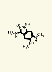 CNc1cc2c(NC)[n+]([O-])n(O)c2cc1NC